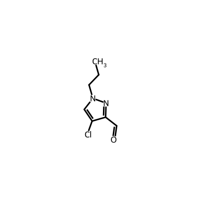 CCCn1cc(Cl)c(C=O)n1